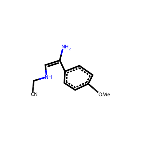 COc1ccc(/C(N)=C\NCC#N)cc1